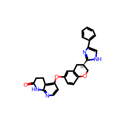 O=C1CCc2c(Oc3ccc4c(c3)C[C@@H](c3nc(-c5ccccc5)c[nH]3)CO4)ccnc2N1